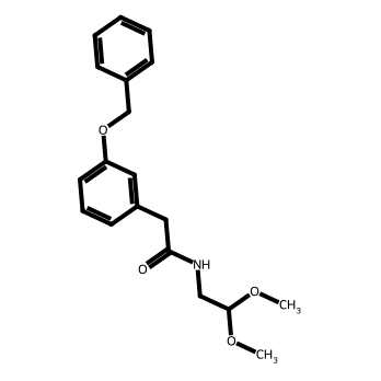 COC(CNC(=O)Cc1cccc(OCc2ccccc2)c1)OC